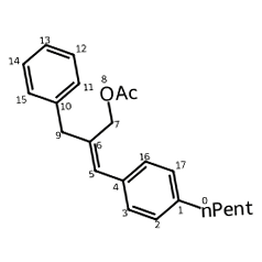 CCCCCc1ccc(/C=C(\COC(C)=O)Cc2ccccc2)cc1